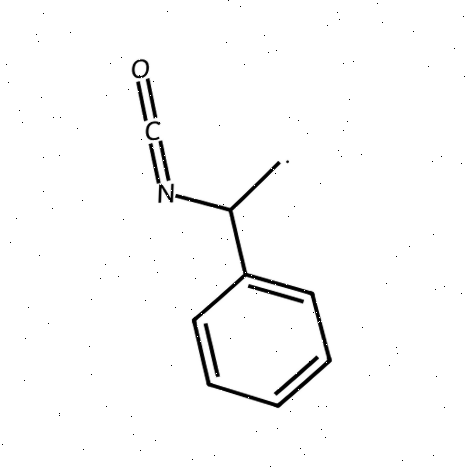 [CH2]C(N=C=O)c1ccccc1